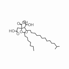 CCCCCCCC(=O)OC(CC(=O)O)(C(=O)O)C(CCCCCCCCCCCCC(C)C)C(=O)O